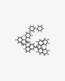 c1ccc(-c2cccc(-c3ccc(C4NC(c5cccc6cc(-n7c8ccc9ccccc9c8c8c9ccccc9ccc87)ccc56)=Nc5ccccc54)cc3)c2)cc1